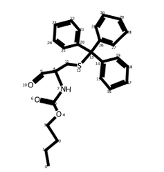 CCCCOC(=O)NC(C=O)CSC(c1ccccc1)(c1ccccc1)c1ccccc1